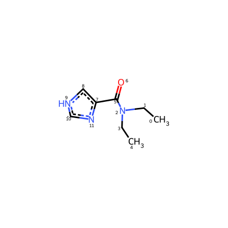 CCN(CC)C(=O)c1c[nH][c]n1